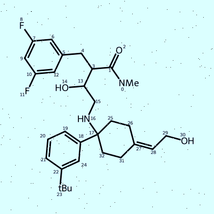 CNC(=O)C(Cc1cc(F)cc(F)c1)C(O)CNC1(c2cccc(C(C)(C)C)c2)CCC(=CCO)CC1